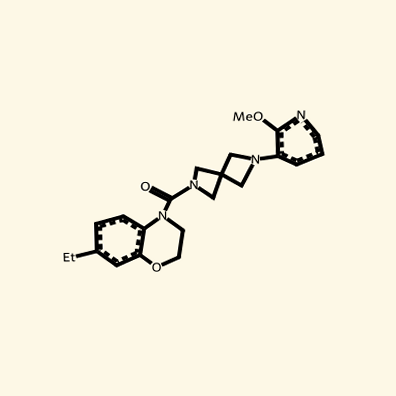 CCc1ccc2c(c1)OCCN2C(=O)N1CC2(C1)CN(c1cccnc1OC)C2